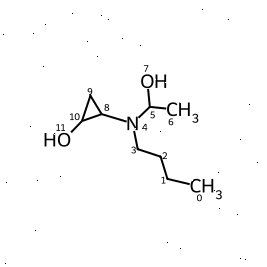 CCCCN(C(C)O)C1CC1O